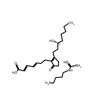 CCCCC[C@H](O)CCC1=C(CCC=CC=CC(=O)O)C(=O)CC1.N=C(N)NCCCCN